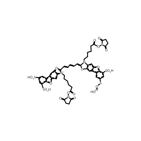 O=C(CCCCCN1/C(=C/C=C/C=C/c2oc3cc4c(cc3[n+]2CCCCCC(=O)ON2C(=O)CCC2=O)oc2c(S(=O)(=O)O)cc(S(=O)(=O)O)cc24)Oc2cc3c(cc21)oc1c(S(=O)(=O)O)cc(SOOO)cc13)ON1C(=O)CCC1=O